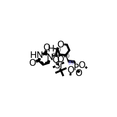 COP(=O)(/C=C/[C@]12CCO[C@H](C1O[Si](C)(C)C(C)(C)C)[C@H](n1ccc(=O)[nH]c1=O)O2)OC